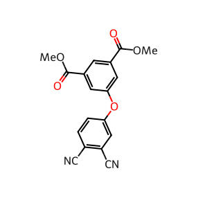 COC(=O)c1cc(Oc2ccc(C#N)c(C#N)c2)cc(C(=O)OC)c1